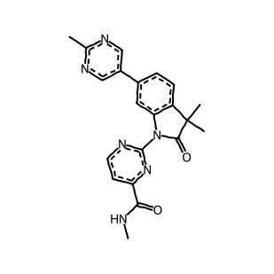 CNC(=O)c1ccnc(N2C(=O)C(C)(C)c3ccc(-c4cnc(C)nc4)cc32)n1